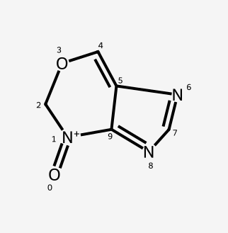 O=[N+]1COC=C2N=CN=C21